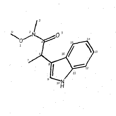 CON(C)C(=O)C(C)c1c[nH]c2ccccc12